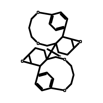 [CH]C(C)(C12CCC3OC3C1c1ccc(cc1)OCCCOC2)C12CCC3OC3C1c1ccc(cc1)OCCCOC2